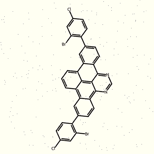 Clc1ccc(-c2ccc3c(c2)c2cccc4c5cc(-c6ccc(Cl)cc6Br)ccc5c5ncnc3c5c24)c(Br)c1